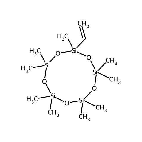 C=C[Si]1(C)O[Si](C)(C)O[Si](C)(C)O[Si](C)(C)O[Si](C)(C)O1